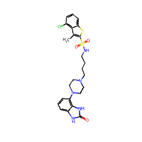 Cc1c(S(=O)(=O)NCCCCN2CCN(c3cccc4[nH]c(=O)[nH]c34)CC2)sc2cccc(Cl)c12